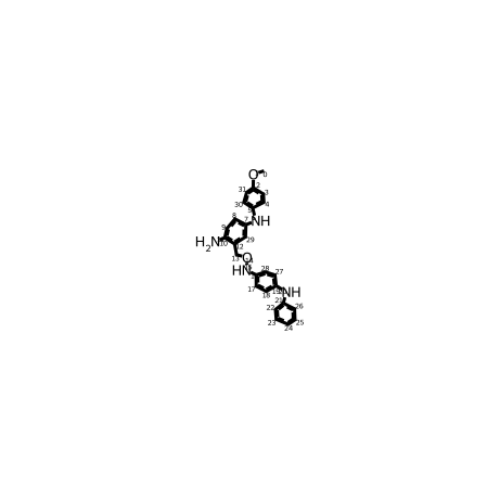 COc1ccc(Nc2ccc(N)c(CONc3ccc(Nc4ccccc4)cc3)c2)cc1